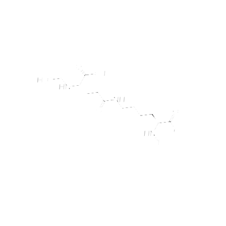 CCN[C@@H](CCC(=O)NCCCC[C@H](NI)C(C)=O)C(C)=O